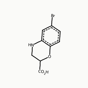 O=C(O)C1CNc2cc(Br)ccc2O1